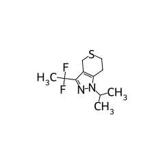 CC(C)n1nc(C(C)(F)F)c2c1CCSC2